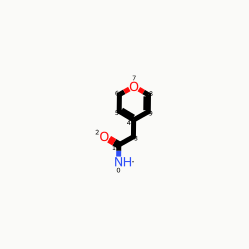 [NH]C(=O)CC1=CCOC=C1